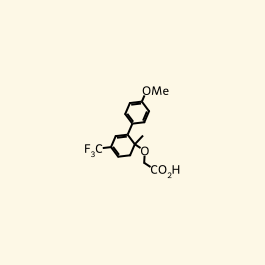 COc1ccc(C2=CC(C(F)(F)F)=CCC2(C)OCC(=O)O)cc1